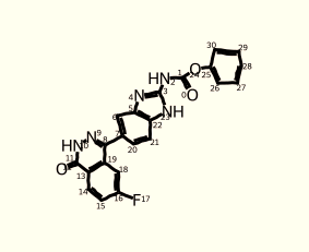 O=C(Nc1nc2cc(-c3n[nH]c(=O)c4ccc(F)cc34)ccc2[nH]1)Oc1ccccc1